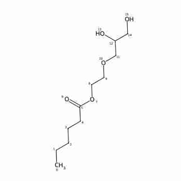 CCCCCC(=O)OCCOCC(O)CO